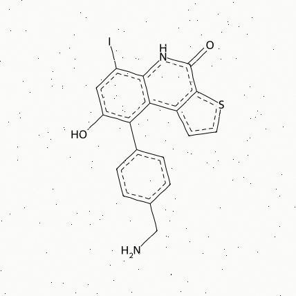 NCc1ccc(-c2c(O)cc(I)c3[nH]c(=O)c4sccc4c23)cc1